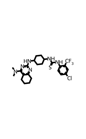 CN(C)c1nc(NC2CCC(NC(=S)Nc3ccc(Cl)cc3C(F)(F)F)CC2)nc2c1CCCC2